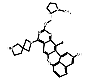 CN1CCC[C@H]1COc1nc(N2CC3(CCNC3)C2)c2cc(Cl)c(-c3cc(O)cc4cccc(Cl)c34)c(F)c2n1